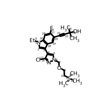 CCn1cc(-c2cn(COCCS(C)(C)C)nc2Cl)c2cc(C#CC(C)(C)O)c(F)cc21